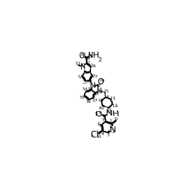 Cc1ncc(Cl)cc1C(=O)N[C@H]1CC[C@H](Cn2c(=O)n(-c3ccc4c(c3)cc(C(N)=O)n4C)c3ccccc32)CC1